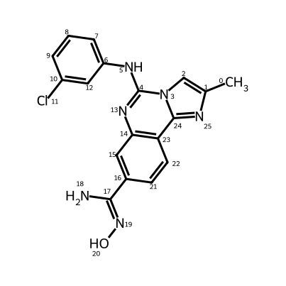 Cc1cn2c(Nc3cccc(Cl)c3)nc3cc(C(N)=NO)ccc3c2n1